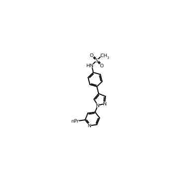 CCCc1cc(-n2cc(-c3ccc(NS(C)(=O)=O)cc3)cn2)ccn1